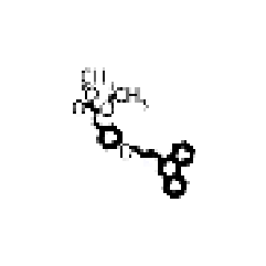 CCOC(=O)[C@H](Cc1ccc(OC/C=C/c2cc3ccccc3c3ccccc23)cc1)OCC